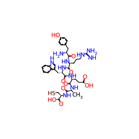 C[C@H](NC(=O)[C@H](CCC(=O)O)NC(=O)[C@H](Cc1c[nH]c2ccccc12)NC(=O)[C@H](CCCNC(=N)N)NC(=O)[C@@H](N)Cc1ccc(O)cc1)C(=O)N[C@H](CS)C(=O)O